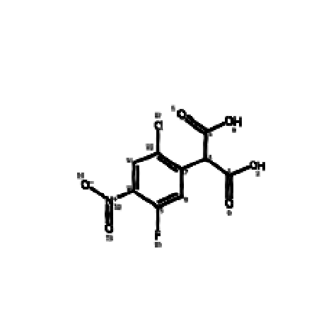 O=C(O)C(C(=O)O)c1cc(F)c([N+](=O)[O-])cc1Cl